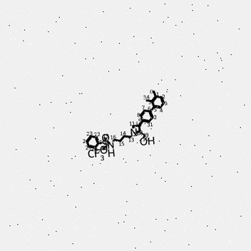 Cc1cccc(-c2ccc(C3CN(CCCCNS(=O)(=O)c4ccccc4C(F)(F)F)[C@@H]3CO)cc2)c1C